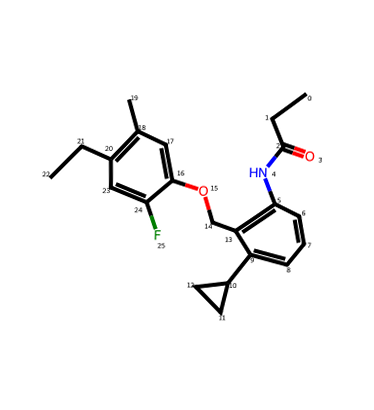 CCC(=O)Nc1cccc(C2CC2)c1COc1cc(C)c(CC)cc1F